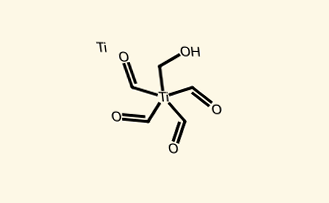 O=[CH][Ti]([CH]=O)([CH]=O)([CH]=O)[CH2]O.[Ti]